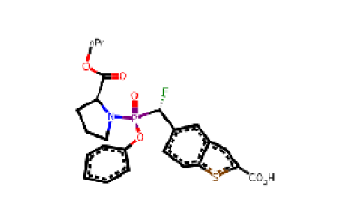 CCCOC(=O)[C@@H]1CCCN1[P@@](=O)(Oc1ccccc1)[C@H](F)c1ccc2sc(C(=O)O)cc2c1